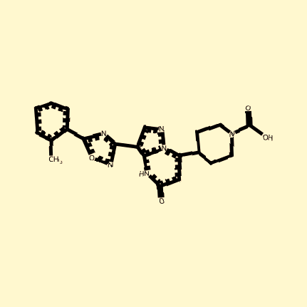 Cc1ccccc1-c1nc(-c2cnn3c(C4CCN(C(=O)O)CC4)cc(=O)[nH]c23)no1